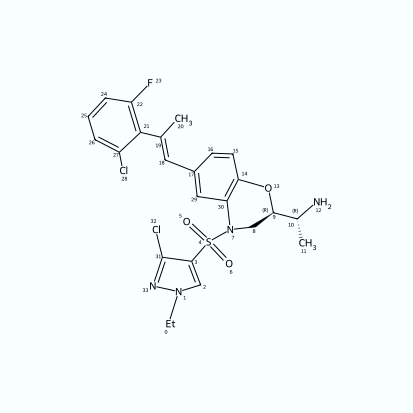 CCn1cc(S(=O)(=O)N2C[C@H]([C@@H](C)N)Oc3ccc(C=C(C)c4c(F)cccc4Cl)cc32)c(Cl)n1